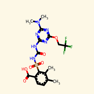 Cc1ccc(C(=O)O)c(S(=O)(=O)NC(=O)Nc2nc(OCC(F)(F)F)nc(N(C)C)n2)c1C